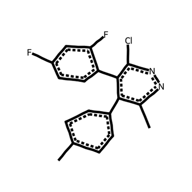 Cc1ccc(-c2c(C)nnc(Cl)c2-c2ccc(F)cc2F)cc1